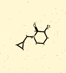 CCC1CCCN(CC2CC2)C1=O